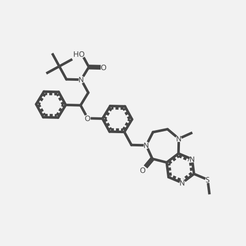 CSc1ncc2c(n1)N(C)CCN(Cc1cccc(OC(CN(CC(C)(C)C)C(=O)O)c3ccccc3)c1)C2=O